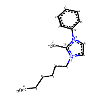 CCCCCCCCCCCCCCC[n+]1ccn(-c2ccccc2)c1CCCC